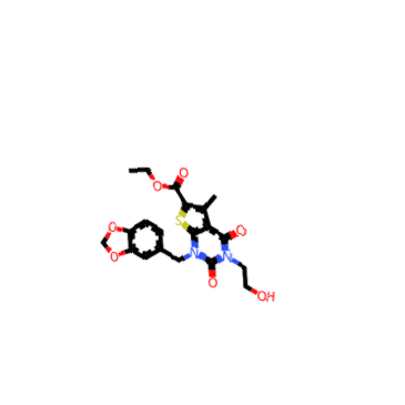 CCOC(=O)c1sc2c(c1C)c(=O)n(CCO)c(=O)n2Cc1ccc2c(c1)OCO2